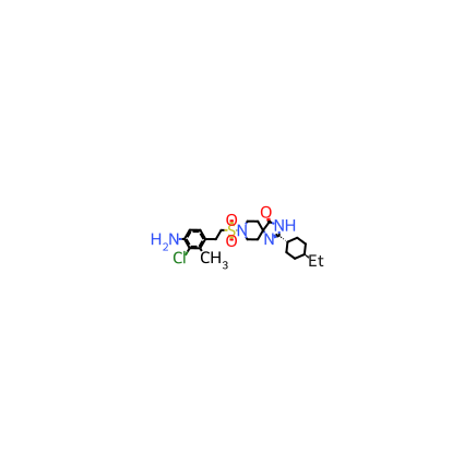 CC[C@H]1CC[C@H](C2=NC3(CCN(S(=O)(=O)CCc4ccc(N)c(Cl)c4C)CC3)C(=O)N2)CC1